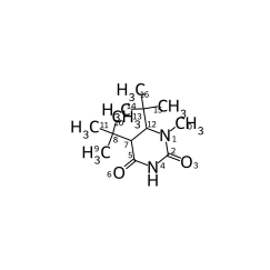 CN1C(=O)NC(=O)C(C(C)(C)C)C1C(C)(C)C